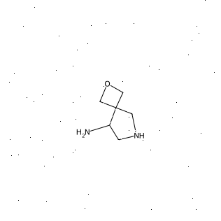 NC1CNCC12COC2